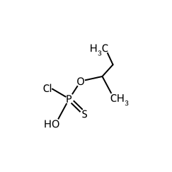 CCC(C)OP(O)(=S)Cl